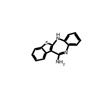 NC1=Nc2ccccc2Nc2sc3ccccc3c21